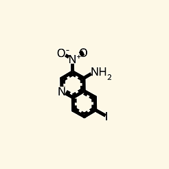 Nc1c([N+](=O)[O-])cnc2ccc(I)cc12